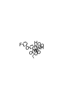 CCCC(=O)Nc1cc(Oc2cccc(F)c2)ccc1NC(=NC(=O)OC)NC(=O)OC